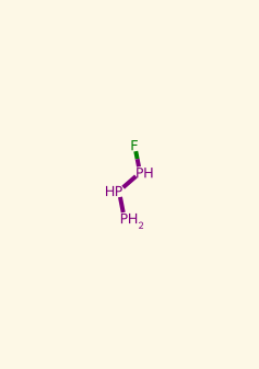 FPPP